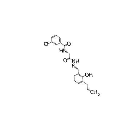 C=CCc1cccc(/C=N/NC(=O)CNC(=O)c2cccc(Cl)c2)c1O